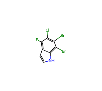 Fc1c(Cl)c(Br)c(Br)c2[nH]ccc12